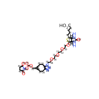 O=C(O)CCCC[C@@H]1S[C@H](OCCOCCOCCOCCn2nnc3c2CCC2C(CC3)C2COC(=O)ON2C(=O)CCC2=O)[C@@H]2NC(=O)N[C@@H]21